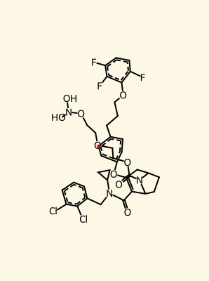 O=C(C1=C(Oc2ccc(CCCOc3c(F)ccc(F)c3F)cc2)CC2CCC1N2C(=O)OCCOCCON(O)O)N(Cc1cccc(Cl)c1Cl)C1CC1